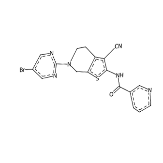 N#Cc1c(NC(=O)c2cccnc2)sc2c1CCN(c1ncc(Br)cn1)C2